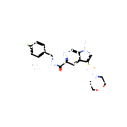 CON(Cc1ccc(F)cc1)C(=O)c1cc2c(S(=O)(=O)N3CCOCC3)c[nH]c2cn1